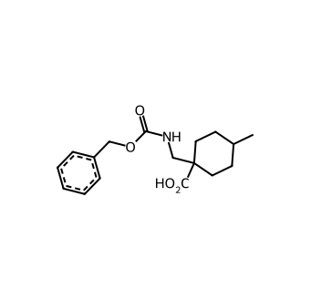 CC1CCC(CNC(=O)OCc2ccccc2)(C(=O)O)CC1